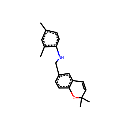 Cc1ccc(NCc2ccc3c(c2)C=CC(C)(C)O3)c(C)c1